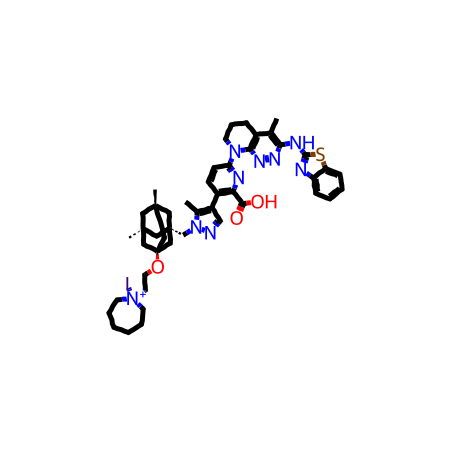 Cc1c(Nc2nc3ccccc3s2)nnc2c1CCCN2c1ccc(-c2cnn(C[C@]34C[C@]5(C)C[C@](C)(C3)C[C@@](OCC[N+]3(I)CCCCCC3)(C5)C4)c2C)c(C(=O)O)n1